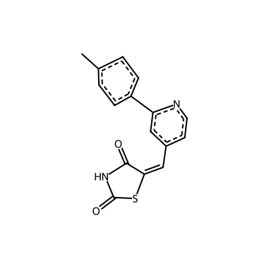 Cc1ccc(-c2cc(C=C3SC(=O)NC3=O)ccn2)cc1